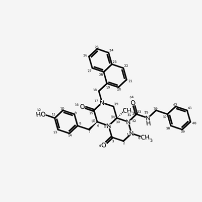 CN1CC(=O)N2[C@@H](Cc3ccc(O)cc3)C(=O)N(Cc3cccc4ccccc34)C[C@@]2(C)N1C(=O)NCc1ccccc1